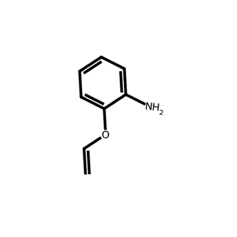 C=COc1ccccc1N